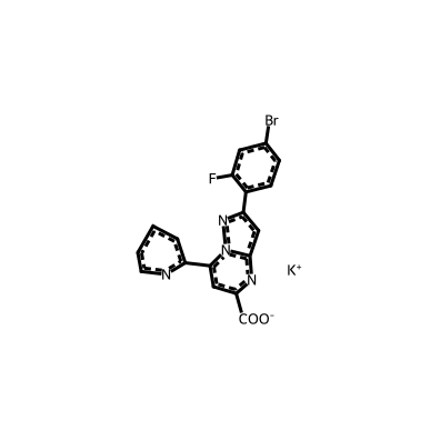 O=C([O-])c1cc(-c2ccccn2)n2nc(-c3ccc(Br)cc3F)cc2n1.[K+]